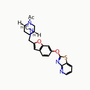 CC(=O)N1C[C@@H]2CC[C@H]1CN2Cc1cc2ccc(Oc3nc4ncccc4s3)cc2o1